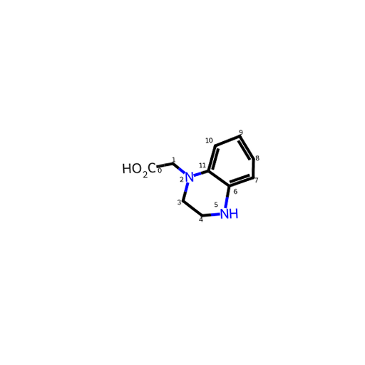 O=C(O)CN1CCNc2ccccc21